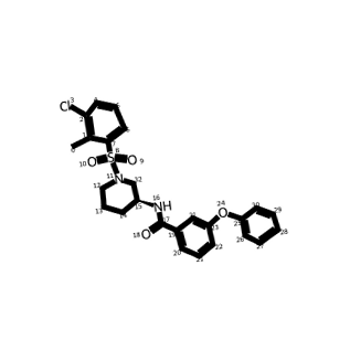 Cc1c(Cl)cccc1S(=O)(=O)N1CCC[C@H](NC(=O)c2cccc(Oc3ccccc3)c2)C1